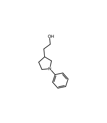 OCCC1CCN(c2ccccc2)C1